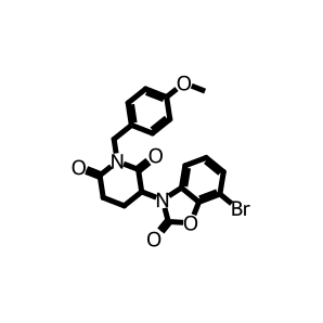 COc1ccc(CN2C(=O)CCC(n3c(=O)oc4c(Br)cccc43)C2=O)cc1